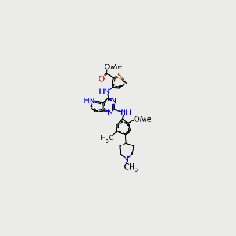 COC(=O)c1sccc1Nc1nc(Nc2cc(C)c(C3CCN(C)CC3)cc2OC)nc2cc[nH]c12